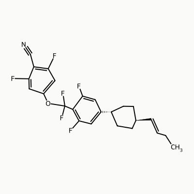 CCC=C[C@H]1CC[C@H](c2cc(F)c(C(F)(F)Oc3cc(F)c(C#N)c(F)c3)c(F)c2)CC1